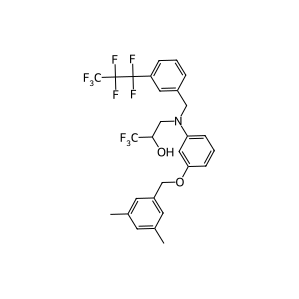 Cc1cc(C)cc(COc2cccc(N(Cc3cccc(C(F)(F)C(F)(F)C(F)(F)F)c3)CC(O)C(F)(F)F)c2)c1